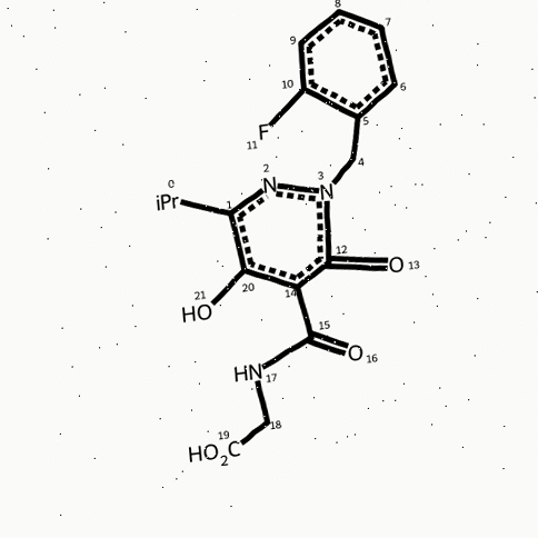 CC(C)c1nn(Cc2ccccc2F)c(=O)c(C(=O)NCC(=O)O)c1O